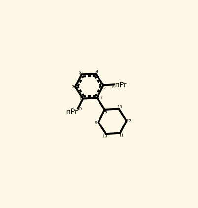 CCCc1cccc(CCC)c1C1CCCCC1